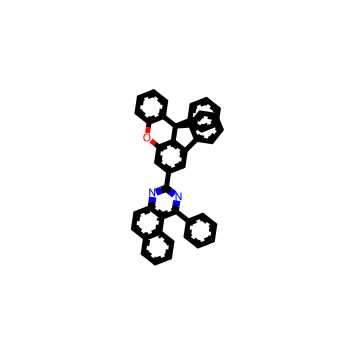 c1ccc(-c2nc(-c3cc4c5c(c3)-c3ccccc3C5(c3ccccc3)c3ccccc3O4)nc3ccc4ccccc4c23)cc1